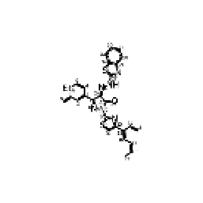 C=C/C=C(\C=C/CC)C1=NN(c2nc(/C(C=C)=C/C=C\C)cs2)C(=O)/C1=N\Nc1nc2ccccc2s1